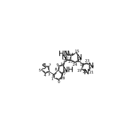 c1cc(-c2ccsc2)c2cc(-c3n[nH]c4cnc(-c5cncnc5)cc34)[nH]c2c1